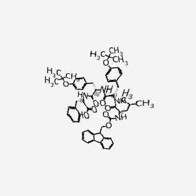 CC(C)C[C@@H](NC(=O)OCC1c2ccccc2-c2ccccc21)C(=O)N[C@@H](Cc1ccc(OC(C)(C)C)cc1)C(=O)N[C@@H](Cc1ccc(OC(C)(C)C)cc1)C(=O)N[C@@H](Cc1ccccc1)C(=O)O